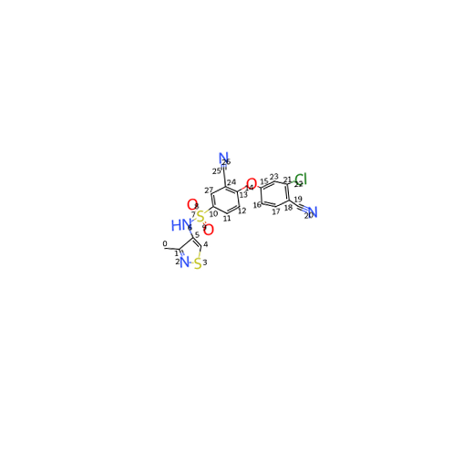 Cc1nscc1NS(=O)(=O)c1ccc(Oc2ccc(C#N)c(Cl)c2)c(C#N)c1